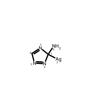 N[C]1([Ag])N=CN=N1